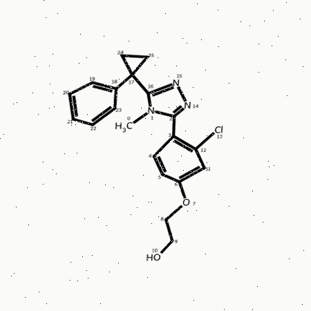 Cn1c(-c2ccc(OCCO)cc2Cl)nnc1C1(c2ccccc2)CC1